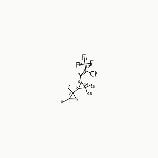 CC1CC1(C)C1[C](C=C(Cl)C(F)(F)F)C1(C)C